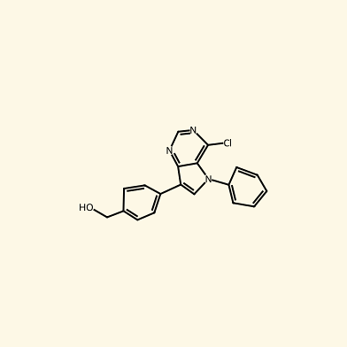 OCc1ccc(-c2cn(-c3ccccc3)c3c(Cl)ncnc23)cc1